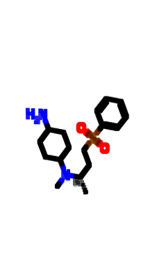 C[C@@H](CCS(=O)(=O)c1ccccc1)N(C)C1CCC(N)CC1